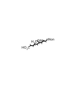 CCCCCCCCCCCCCCCCCC(=O)O.COC